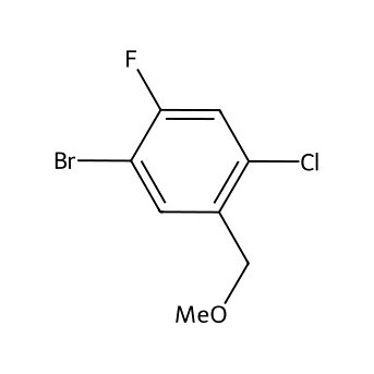 COCc1cc(Br)c(F)cc1Cl